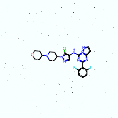 Fc1cccc(F)c1-c1nc(Nc2cnn(C3CCN(C4CCOCC4)CC3)c2Cl)n2nccc2n1